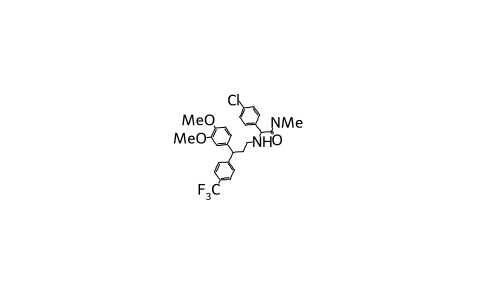 CNC(=O)C(NCCC(c1ccc(C(F)(F)F)cc1)c1ccc(OC)c(OC)c1)c1ccc(Cl)cc1